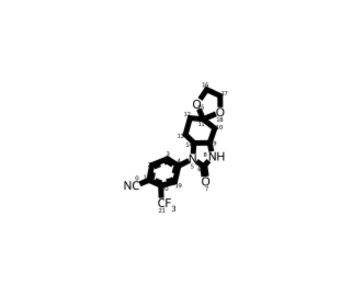 N#Cc1ccc(N2C(=O)NC3CC4(CCC32)OCCO4)cc1C(F)(F)F